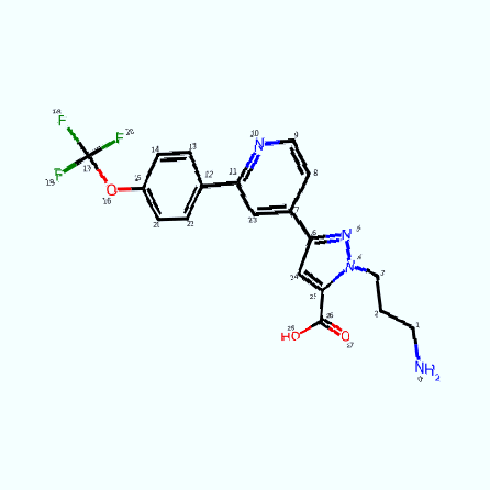 NCCCn1nc(-c2ccnc(-c3ccc(OC(F)(F)F)cc3)c2)cc1C(=O)O